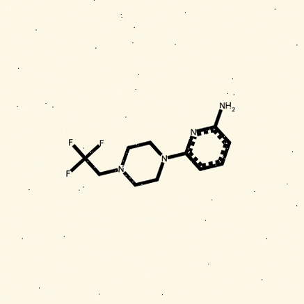 Nc1cccc(N2CCN(CC(F)(F)F)CC2)n1